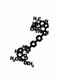 COC(=O)N[C@@H]1C(=O)N2[C@H](CC[C@H]2c2ncc(-c3ccc(-c4ccc(-c5cnc([C@@H]6CC[C@@H]7CC(C)[C@H](NC(=O)OC)C(=O)N76)[nH]5)cc4)cc3)[nH]2)CC1C